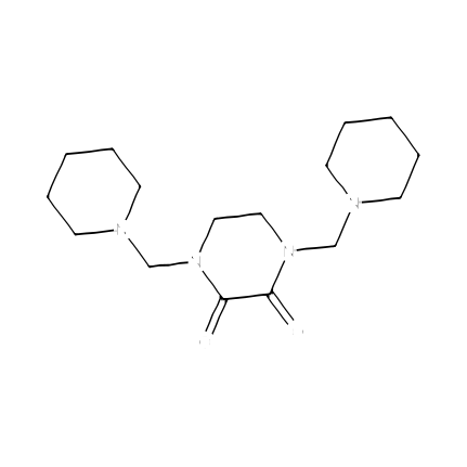 O=C1C(=O)N(CN2CCCCC2)CCN1CN1CCCCC1